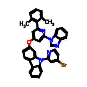 Cc1cccc(C)c1-c1cc(Oc2ccc3c4ccccc4n(-c4cc(Br)ccn4)c3c2)cc(-n2cnc3ccccc32)n1